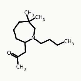 CCCCN1CC(C)(C)CCCC1CC(C)=O